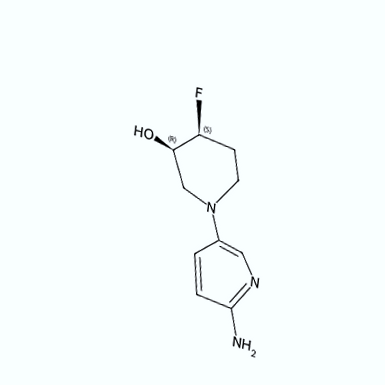 Nc1ccc(N2CC[C@H](F)[C@H](O)C2)cn1